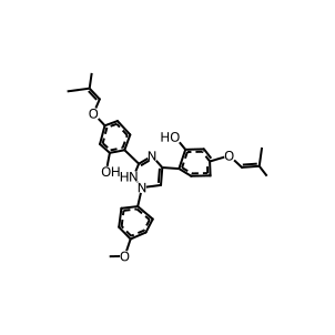 COc1ccc(N2C=C(c3ccc(OC=C(C)C)cc3O)N=C(c3ccc(OC=C(C)C)cc3O)N2)cc1